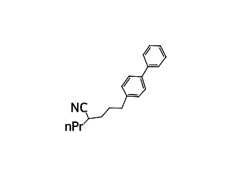 CCCC(C#N)CCCc1ccc(-c2ccccc2)cc1